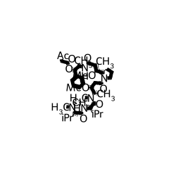 CO[C@H]([C@@H](C)C(=O)N[C@H](C)[C@@H](OC(=O)CC(C)=O)c1ccccc1)[C@@H]1CCCN1C(=O)C[C@@H](OC)[C@H](C)N(C)C(=O)[C@@H](NC(=O)[C@H](C(C)C)N(C)C)C(C)C